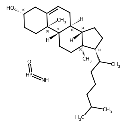 CC(C)CCCC(C)[C@H]1CC[C@H]2[C@@H]3CC=C4C[C@@H](O)CC[C@]4(C)[C@H]3CC[C@]12C.N=[PH]=O